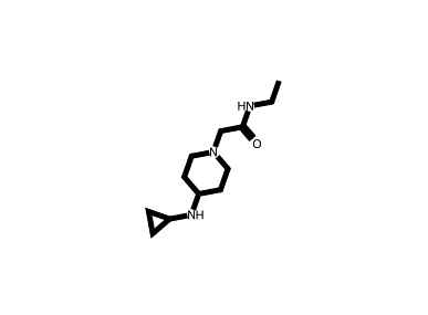 CCNC(=O)CN1CCC(NC2CC2)CC1